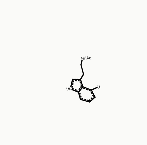 CC(=O)NCCc1c[nH]c2cccc(Cl)c12